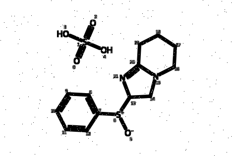 O=S(=O)(O)O.[O-][S+](c1ccccc1)C1CN2CCCCC2=N1